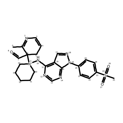 CC1=NC=CCC1(C=O)[N+]1(Nc2ncnc3c2cnn3-c2ccc(S(C)(=O)=O)cc2)CCCCC1